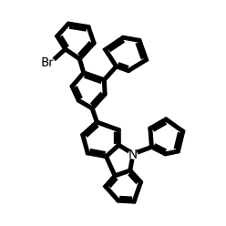 Brc1ccccc1-c1ccc(-c2ccc3c4ccccc4n(-c4ccccc4)c3c2)cc1-c1ccccc1